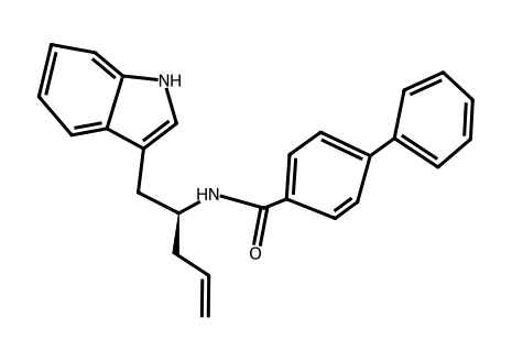 C=CC[C@@H](Cc1c[nH]c2ccccc12)NC(=O)c1ccc(-c2ccccc2)cc1